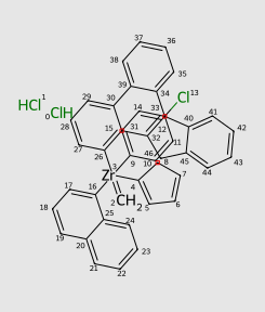 Cl.Cl.[CH2]=[Zr]([C]1=CC=CC1)([c]1ccc(Cl)cc1)([c]1cccc2ccccc12)[c]1cccc2c1c1c(c3ccccc32)-c2ccccc2C1